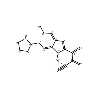 C=C(C#N)C(=O)c1cc(=C/CC)/c(=C\CN2CCCS2)n1P